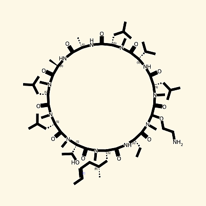 C/C=C/C[C@@H](C)C[C@H]1C(=O)N[C@@H](CC)C(=O)N(C)C(OCCN)C(=O)N(C)[C@@H](CC(C)C)C(=O)N[C@@H](C(C)C)C(=O)N(C)[C@@H](CC(C)C)C(=O)N[C@@H](C)C(=O)N[C@H](C)C(=O)N(C)[C@@H](CC(C)C)C(=O)N(C)[C@@H](CC(C)C)C(=O)N(C)[C@@H](C(C)O)C(=O)N1C